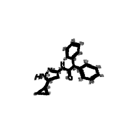 O=C(Nc1cc(C2CC2)[nH]n1)C(c1ccccc1)c1ccccc1